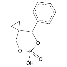 O=P1(O)OCC2(CC2)C(c2ccccc2)O1